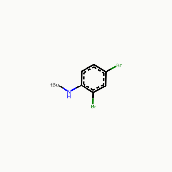 CC(C)(C)Nc1ccc(Br)cc1Br